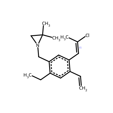 C=Cc1cc(CC)c(CN2CC2(C)C)cc1/C=C(\C)Cl